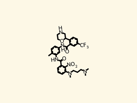 Cc1ccc(NC(=O)c2cc(C(F)(F)F)ccc2C2CNCCO2)cc1NC(=O)c1cccc(N(C)CCCN(C)C)c1[N+](=O)[O-]